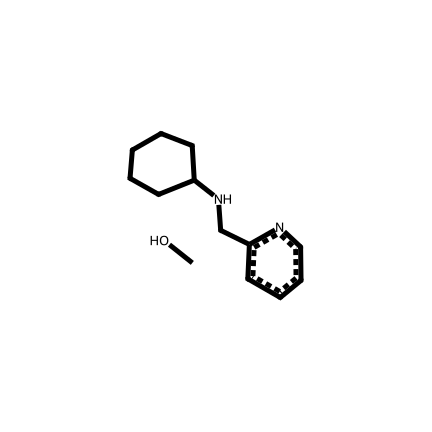 CO.c1ccc(CNC2CCCCC2)nc1